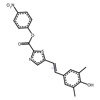 Cc1cc(/C=C/c2cnc(C(=O)Oc3ccc([N+](=O)[O-])cc3)s2)cc(C)c1O